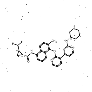 Cc1ccc2c(NC(=O)[C@@H]3C[C@H]3C(F)F)cccc2c1Oc1ncccc1-c1ccnc(N[C@H]2CCCNC2)n1